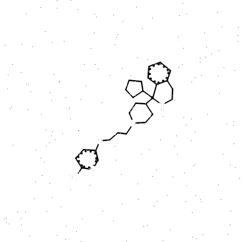 N#Cc1ccc(NCCCN2CCC(C3(C4CCCC4)NCCc4ccccc43)CC2)cn1